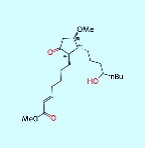 CCCCC(O)CCC[C@H]1[C@H](OC)CC(=O)[C@@H]1CCCCC=CC(=O)OC